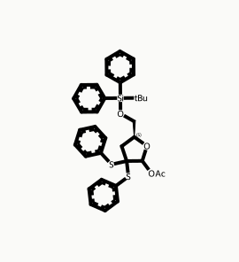 CC(=O)OC1O[C@H](CO[Si](c2ccccc2)(c2ccccc2)C(C)(C)C)CC1(Sc1ccccc1)Sc1ccccc1